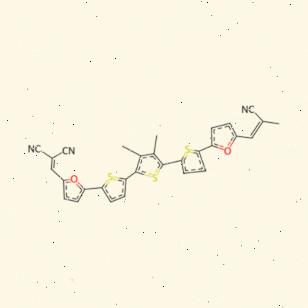 C/C(C#N)=C/c1ccc(-c2ccc(-c3sc(-c4ccc(-c5ccc(C=C(C#N)C#N)o5)s4)c(C)c3C)s2)o1